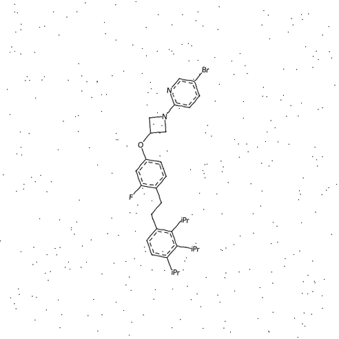 CC(C)c1ccc(CCc2ccc(OC3CN(c4ccc(Br)cn4)C3)cc2F)c(C(C)C)c1C(C)C